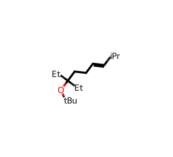 CCC(CC)(CC/C=C/C(C)C)OC(C)(C)C